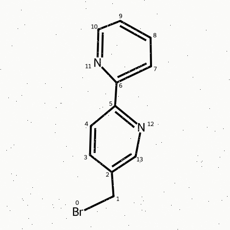 BrCc1ccc(-c2ccccn2)nc1